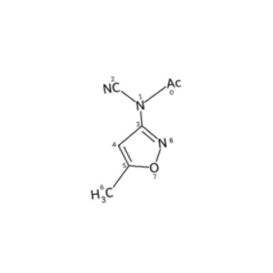 CC(=O)N(C#N)c1cc(C)on1